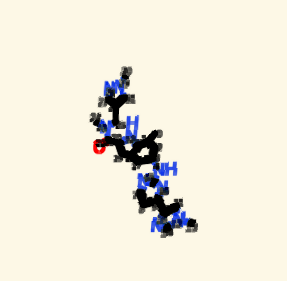 Cc1cc(Nc2nccc(-c3cn(C)cn3)n2)cc2cc(C(=O)N(C)Cc3cnn(C)c3)[nH]c12